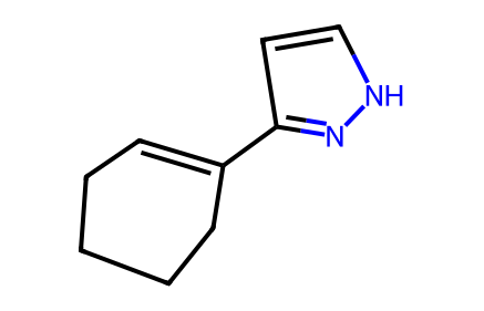 C1=C(c2cc[nH]n2)CCCC1